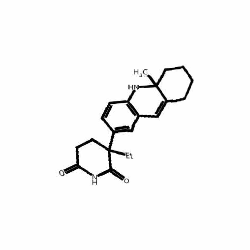 CCC1(c2ccc3c(c2)C=C2CCCCC2(C)N3)CCC(=O)NC1=O